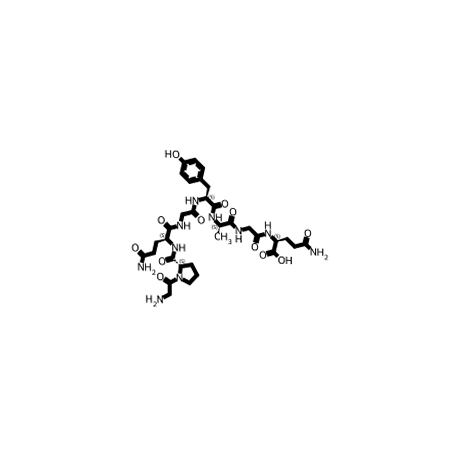 C[C@H](NC(=O)[C@H](Cc1ccc(O)cc1)NC(=O)CNC(=O)[C@H](CCC(N)=O)NC(=O)[C@@H]1CCCN1C(=O)CN)C(=O)NCC(=O)N[C@@H](CCC(N)=O)C(=O)O